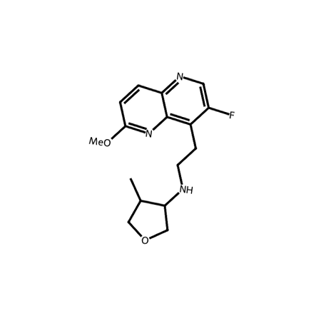 COc1ccc2ncc(F)c(CCNC3COCC3C)c2n1